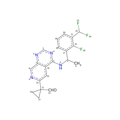 CC(Nc1ncnc2cnc(C3(C=O)CC3)cc12)c1cccc(C(F)F)c1F